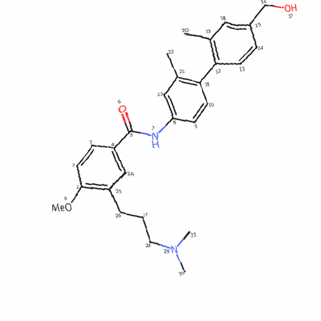 COc1ccc(C(=O)Nc2ccc(-c3ccc(CO)cc3C)c(C)c2)cc1CCCN(C)C